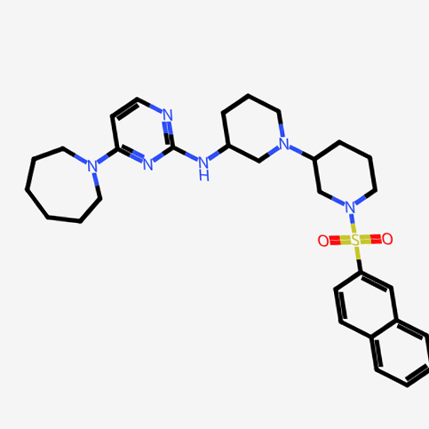 O=S(=O)(c1ccc2ccccc2c1)N1CCCC(N2CCCC(Nc3nccc(N4CCCCCC4)n3)C2)C1